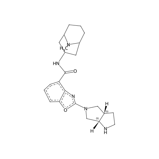 CN1C2CCCC1CC(NC(=O)c1cccc3oc(N4C[C@@H]5CCN[C@@H]5C4)nc13)C2